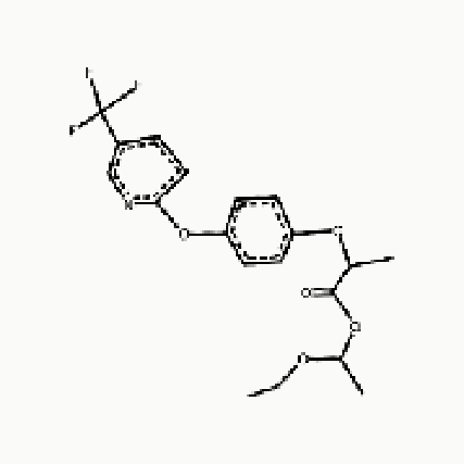 CCOC(C)OC(=O)C(C)Oc1ccc(Oc2ccc(C(F)(F)F)cn2)cc1